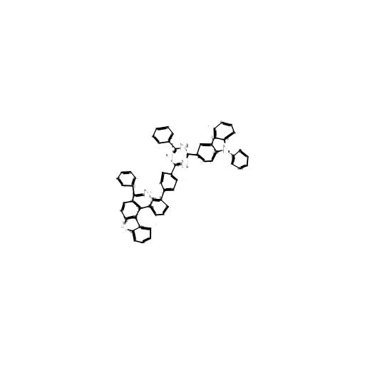 c1ccc(-c2nc(-c3ccc(-c4cccc5c4nc(-c4ccccc4)c4ccc6sc7ccccc7c6c45)cc3)nc(-c3ccc4c(c3)c3ccccc3n4-c3ccccc3)n2)cc1